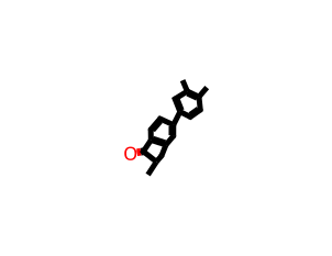 Cc1ccc(-c2ccc3c(c2)CC(C)C3=O)cc1C